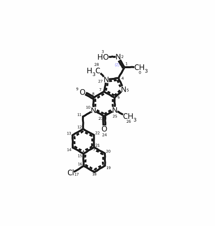 C/C(=N/O)c1nc2c(c(=O)n(Cc3ccc4c(Cl)cccc4c3)c(=O)n2C)n1C